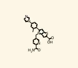 Cc1cc(-n2ccnc2)ccc1-c1cc2sc(C(=O)O)cc2n1Cc1ccc(C(N)=O)nc1